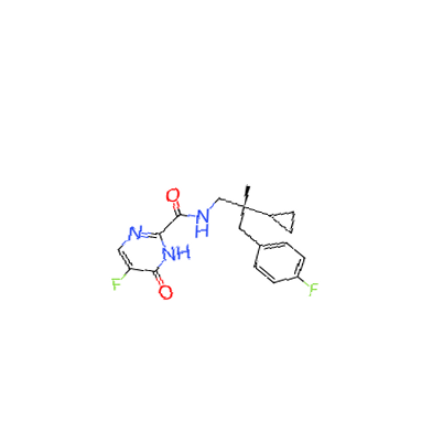 C[C@](CNC(=O)c1ncc(F)c(=O)[nH]1)(Cc1ccc(F)cc1)C1CC1